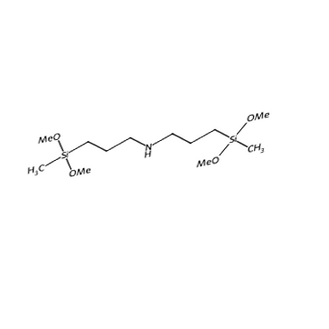 CO[Si](C)(CCCNCCC[Si](C)(OC)OC)OC